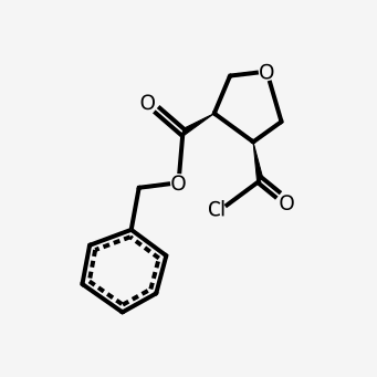 O=C(OCc1ccccc1)[C@H]1COC[C@H]1C(=O)Cl